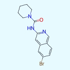 O=C(Nc1cc2cc(Br)ccc2cn1)N1CCCCC1